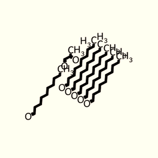 CC(=O)C=O.CCCCCCCCCC=O.CCCCCCCCCC=O.CCCCCCCCCC=O.CCCCCCCCCC=O.CCCCCCCCCC=O.CCCCCCCCCC=O